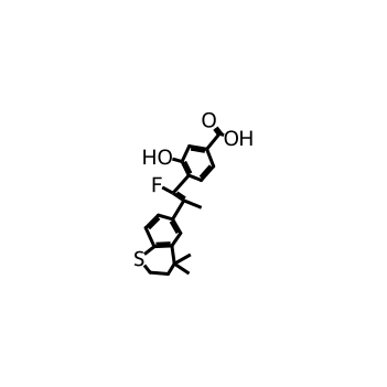 CC(=C(F)c1ccc(C(=O)O)cc1O)c1ccc2c(c1)C(C)(C)CCS2